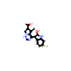 CC(=O)c1cn2ncnc(-c3c(O)[nH]c4cc(F)ccc34)c2c1C